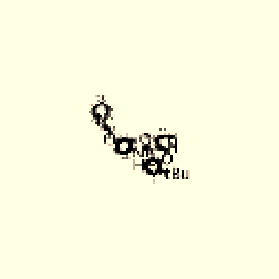 CC(C)(C)c1ccccc1Oc1ncccc1NC(=O)Nc1ccc(OCCN2CCCCC2)cc1